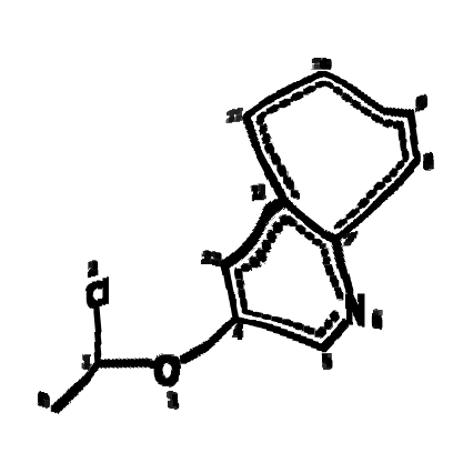 CC(Cl)Oc1cnc2ccccc2c1